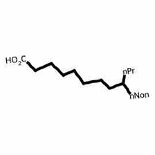 CCCCCCCCCC(CCC)CCCCCCCC(=O)O